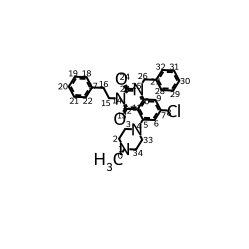 CN1CCN(c2cc(Cl)cc3c2c(=O)n(CCc2ccccc2)c(=O)n3Cc2ccccc2)CC1